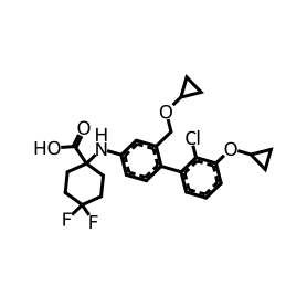 O=C(O)C1(Nc2ccc(-c3cccc(OC4CC4)c3Cl)c(COC3CC3)c2)CCC(F)(F)CC1